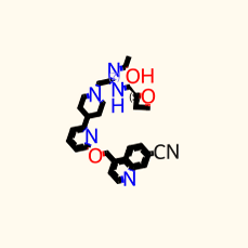 CC(O)/N=C(/CN1CCC(c2cccc(OCc3ccnc4cc(C#N)ccc34)n2)CC1)NC[C@@H]1CCO1